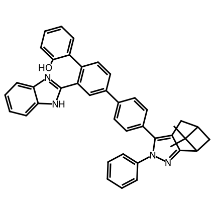 CC1(C)C2Cc3c(nn(-c4ccccc4)c3-c3ccc(-c4ccc(-c5ccccc5O)c(-c5nc6ccccc6[nH]5)c4)cc3)C1C2